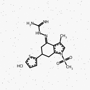 Cc1cn(S(C)(=O)=O)c2c1C(=NNC(=N)N)CC(c1cccs1)C2.Cl